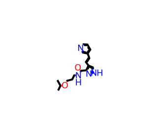 CC(C)OCCCNC(=O)c1n[nH]cc1C=Cc1cccnc1